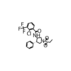 CCS(=O)(=O)N1C[C@H](NC(=O)c2cccc(C(F)(F)F)c2Cl)[C@@H](c2ccccc2)C1